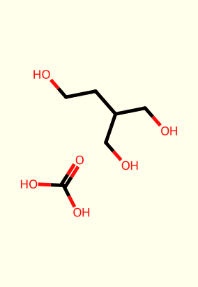 O=C(O)O.OCCC(CO)CO